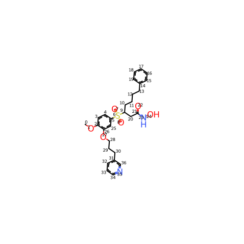 COc1ccc(S(=O)(=O)C(CCCCc2ccccc2)CC(=O)NO)cc1OCCCc1cccnc1